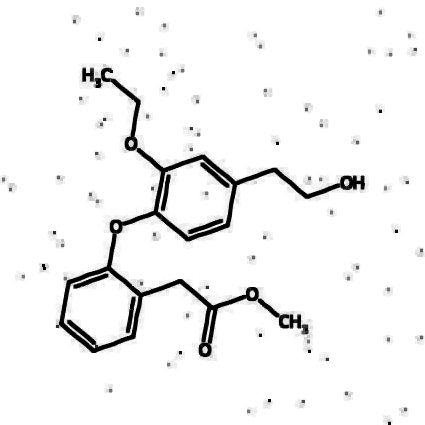 CCOc1cc(CCO)ccc1Oc1ccccc1CC(=O)OC